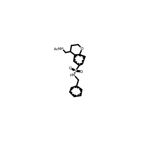 CC(=O)NCC1CCOc2ccc(S(=O)(=O)NCc3ccccc3)cc21